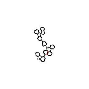 c1ccc(-c2ccccc2N(c2ccc(-c3ccc4c(c3)C3(CCc5ccccc53)c3ccccc3-4)cc2)c2ccc(-c3cccc4oc5ccccc5c34)cc2)cc1